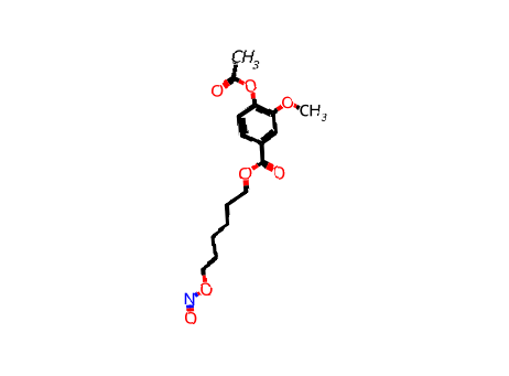 COc1cc(C(=O)OCCCCCCON=O)ccc1OC(C)=O